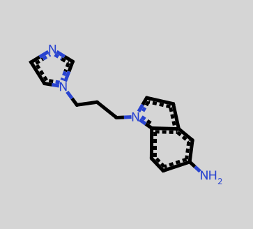 Nc1ccc2c(ccn2CCCn2ccnc2)c1